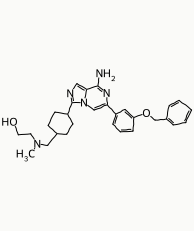 CN(CCO)CC1CCC(c2ncc3c(N)nc(-c4cccc(OCc5ccccc5)c4)cn23)CC1